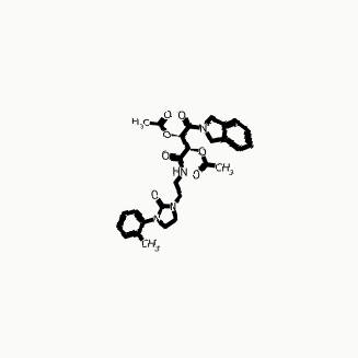 CC(=O)O[C@@H](C(=O)NCCN1CCN(c2ccccc2C)C1=O)[C@@H](OC(C)=O)C(=O)N1Cc2ccccc2C1